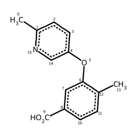 Cc1ccc(Oc2cc(C(=O)O)ccc2C)cn1